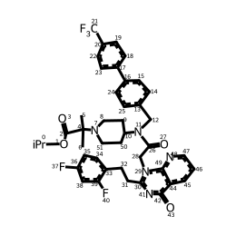 CC(C)OC(=O)C(C)(C)N1CCC(N(Cc2ccc(-c3ccc(C(F)(F)F)cc3)cc2)C(=O)Cn2c(CCc3ccc(F)cc3F)nc(=O)c3cccnc32)CC1